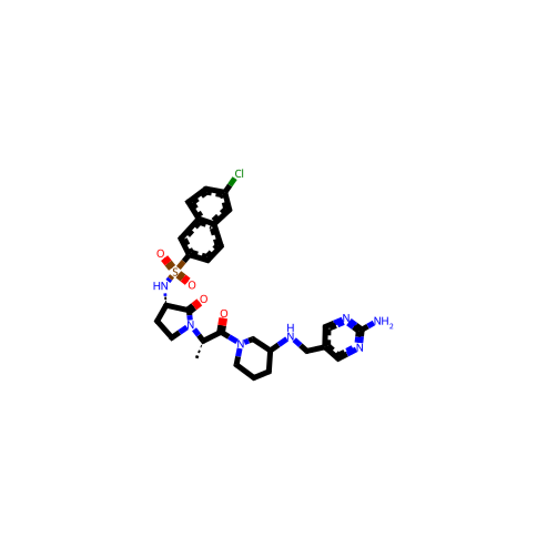 C[C@@H](C(=O)N1CCCC(NCc2cnc(N)nc2)C1)N1CC[C@H](NS(=O)(=O)c2ccc3cc(Cl)ccc3c2)C1=O